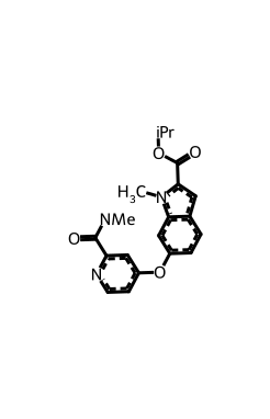 CNC(=O)c1cc(Oc2ccc3cc(C(=O)OC(C)C)n(C)c3c2)ccn1